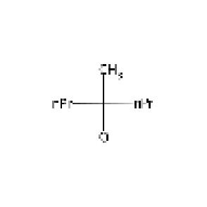 CCCC(C)([O])CCC